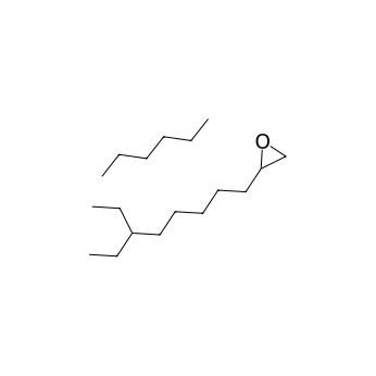 CCC(CC)CCCCCC1CO1.CCCCCC